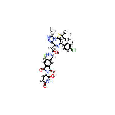 Cc1sc2c(c1C)C(c1ccc(Cl)cc1)=N[C@@H](CC(=O)NCc1cc3c(cc1F)C(=O)N(C1CCC(=O)NC1=O)C3=O)c1nnc(C)n1-2